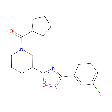 O=C(C1CCCC1)N1CCCC(c2nc(C3=CC(Cl)=CCC3)no2)C1